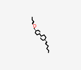 CCC=COC[C@H]1CC[C@H]([C@H]2CC[C@H](C=CCCCC)CC2)CC1